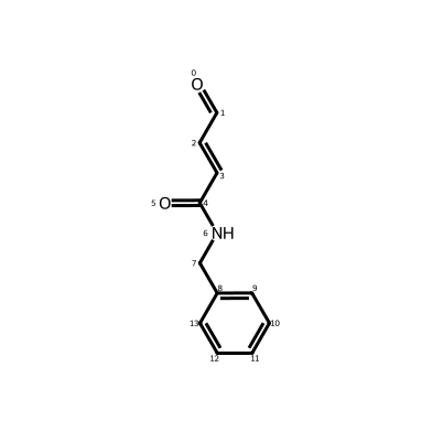 O=CC=CC(=O)NCc1ccccc1